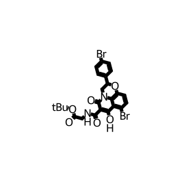 CC(C)(C)OC(=O)CNC(=O)c1c(O)c2c(Br)ccc3c2n(c1=O)CC(c1ccc(Br)cc1)O3